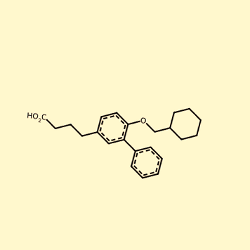 O=C(O)CCCc1ccc(OCC2CCCCC2)c(-c2ccccc2)c1